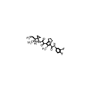 CN/C(=C\N)C1(NC(=O)C(=O)c2c(C)c(C(=O)Nc3ccc(F)c(F)c3)n3c2CCC3)CC1